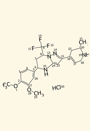 COc1ccc(C2CC(C(F)(F)F)n3nc(C4=CCNC(C)C4)cc3N2)cc1OC.Cl